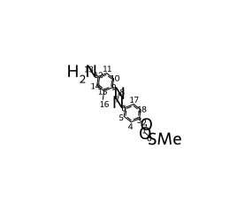 CSOOc1ccc(/N=N/c2ccc(N)cc2C)cc1